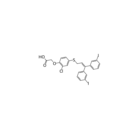 O=C(O)COc1ccc(SCC=C(c2cccc(I)c2)c2cccc(I)c2)cc1Cl